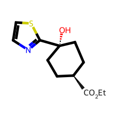 CCOC(=O)[C@H]1CC[C@@](O)(c2nccs2)CC1